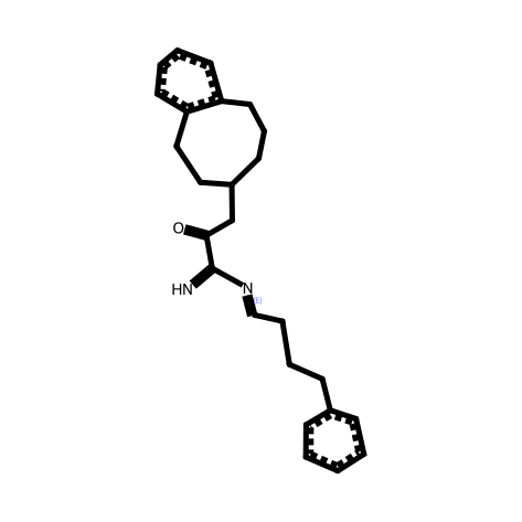 N=C(/N=C/CCCc1ccccc1)C(=O)CC1CCCc2ccccc2CC1